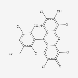 CC(C)Cc1cc(Cl)c(C(=O)O)c(-c2c3cc(Cl)c(=O)c(Cl)c-3oc3c(Cl)c(O)c(Cl)cc23)c1Cl